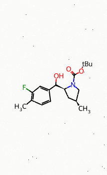 Cc1ccc(C(O)[C@@H]2C[C@H](C)CN2C(=O)OC(C)(C)C)cc1F